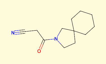 N#CCC(=O)N1CCC2(CCCCC2)C1